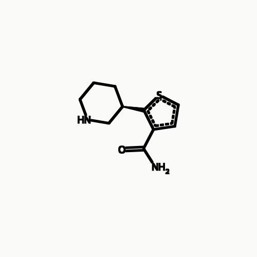 NC(=O)c1ccsc1[C@@H]1CCCNC1